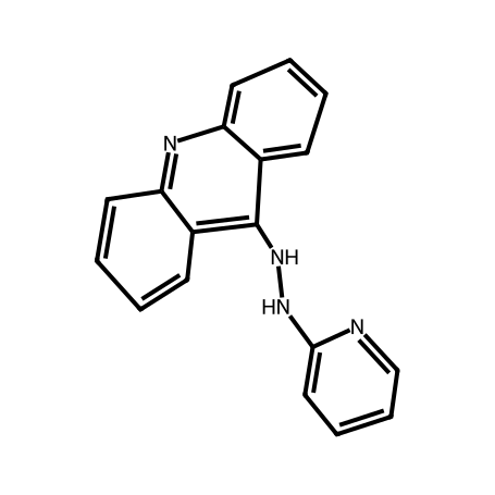 c1ccc(NNc2c3ccccc3nc3ccccc23)nc1